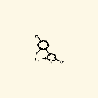 Cn1nc(O)cc1-c1ccc(Cl)cc1F